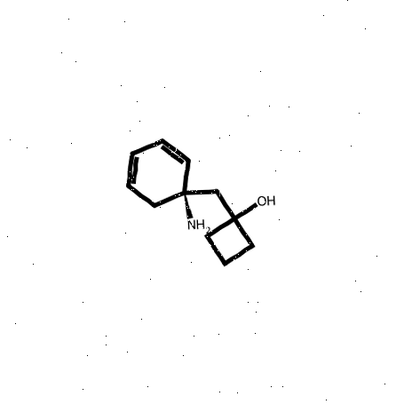 N[C@]1(CC2(O)CCC2)C=CC=CC1